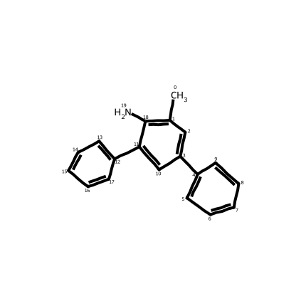 Cc1cc(-c2ccccc2)cc(-c2ccccc2)c1N